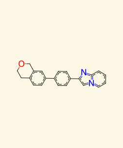 c1ccn2cc(-c3ccc(-c4ccc5c(c4)COCC5)cc3)nc2c1